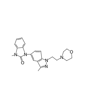 Cc1nn(CCN2CCOCC2)c2ccc(-n3c(=O)n(C)c4ccccc43)cc12